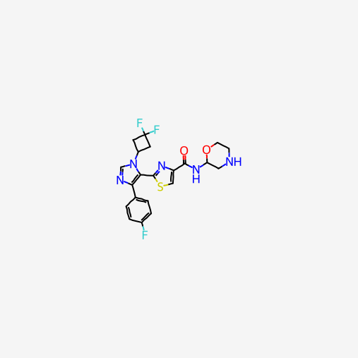 O=C(NC1CNCCO1)c1csc(-c2c(-c3ccc(F)cc3)ncn2C2CC(F)(F)C2)n1